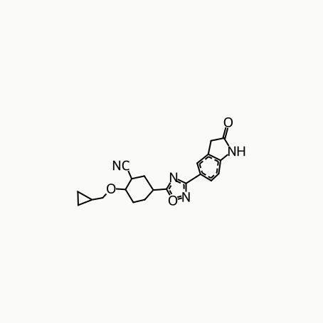 N#CC1CC(c2nc(-c3ccc4c(c3)CC(=O)N4)no2)CCC1OCC1CC1